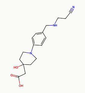 N#CCCNCc1ccc(N2CCC(O)(CC(=O)O)CC2)cc1